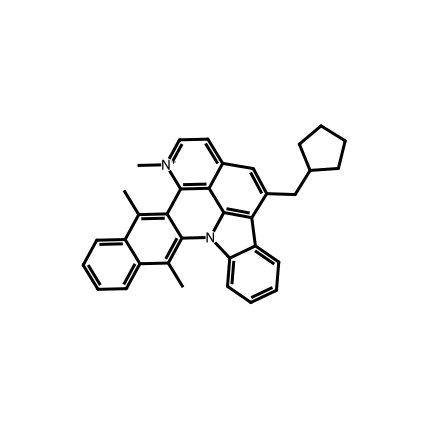 Cc1c2ccccc2c(C)c2c1c1c3c(cc[n+]1C)cc(CC1CCCC1)c1c4ccccc4n2c13